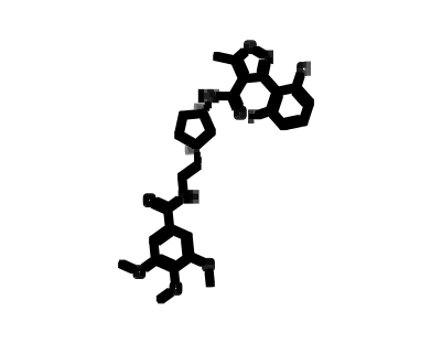 COc1cc(C(=O)NCC[C@@H]2CC[C@H](NC(=O)c3c(-c4c(F)cccc4Cl)noc3C)C2)cc(OC)c1OC